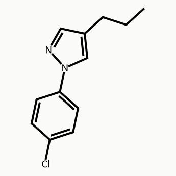 CCCc1cnn(-c2ccc(Cl)cc2)c1